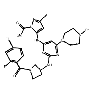 CCN1CCN(c2cc(Nc3cc(C)nn3C(=O)C(C)(C)C)nc(NC3CCN(C(=O)c4ccc(Cl)cc4F)C3)n2)CC1